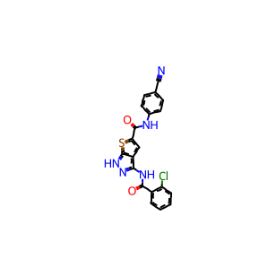 N#Cc1ccc(NC(=O)c2cc3c(NC(=O)c4ccccc4Cl)n[nH]c3s2)cc1